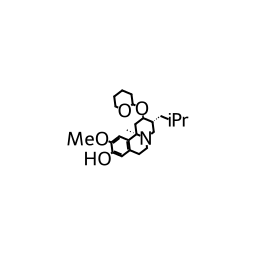 COc1cc2c(cc1O)CCN1C[C@@H](CC(C)C)[C@H](OC3CCCCO3)C[C@]21C